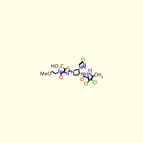 COCCNC(=O)c1nc(N2CC[C@@H](NC(=O)c3[nH]c(C)c(Cl)c3Cl)[C@@H](n3cc(Cl)nn3)C2)sc1C(=O)O